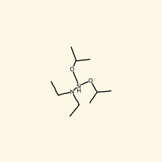 CCN(CC)[SiH](OC(C)C)OC(C)C